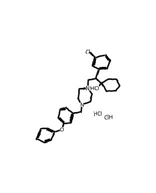 Cl.Cl.OC1(C(CN2CCN(Cc3cccc(Oc4ccccc4)c3)CC2)c2cccc(Cl)c2)CCCCC1